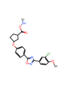 CCNOC(=O)C1CCC(Oc2ccc(-c3nc(-c4ccc(OC(C)C)c(Cl)c4)no3)cc2)C1